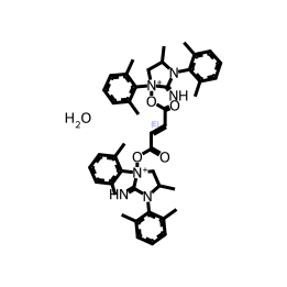 Cc1cccc(C)c1N1C(=N)[N+](OC(=O)/C=C/C(=O)O[N+]2(c3c(C)cccc3C)CC(C)N(c3c(C)cccc3C)C2=N)(c2c(C)cccc2C)CC1C.O